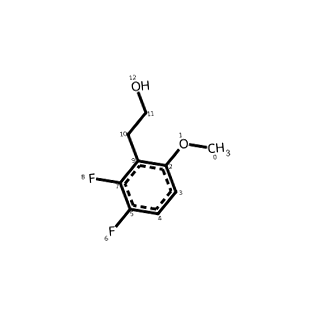 COc1ccc(F)c(F)c1CCO